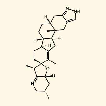 CC1=C2C[C@H]3[C@@H](CC[C@@H]4Cc5n[nH]cc5C[C@@]43C)[C@@H]2CC[C@]12O[C@@H]1C[C@H](C)CN=C1[C@H]2C